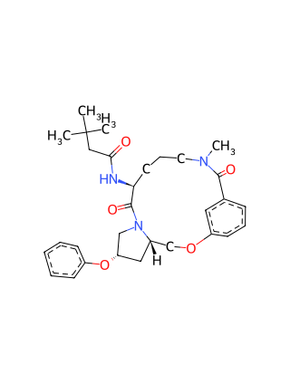 CN1CCC[C@H](NC(=O)CC(C)(C)C)C(=O)N2C[C@@H](Oc3ccccc3)C[C@H]2COc2cccc(c2)C1=O